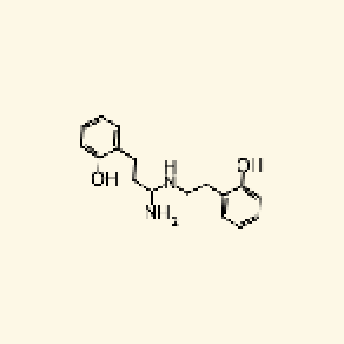 NC(CCc1ccccc1O)NCCc1ccccc1O